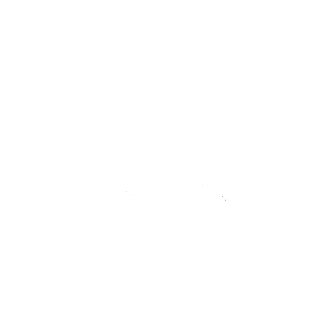 COc1ncc(-c2cc(COCC3(c4ccccc4)CCNCC3)cc(C(F)(F)F)c2)cn1